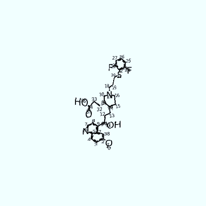 COc1ccc2nccc([C@H](O)CC[C@@H]3CCN(CCCSc4c(F)cccc4F)C[C@H]3CCC(=O)O)c2c1